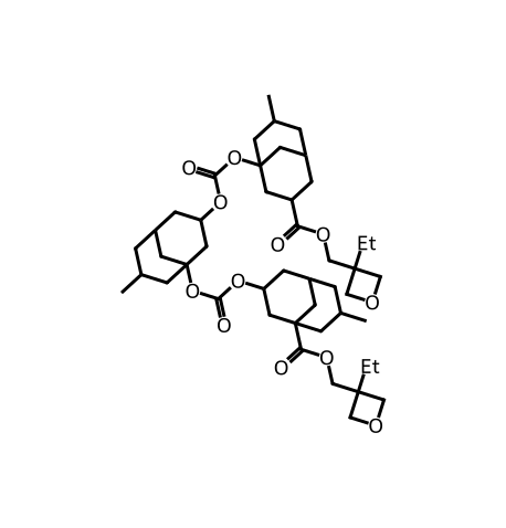 CCC1(COC(=O)C2CC3CC(C)CC(OC(=O)OC4CC5CC(C)CC(OC(=O)OC6CC7CC(C)CC(C(=O)OCC8(CC)COC8)(C7)C6)(C5)C4)(C3)C2)COC1